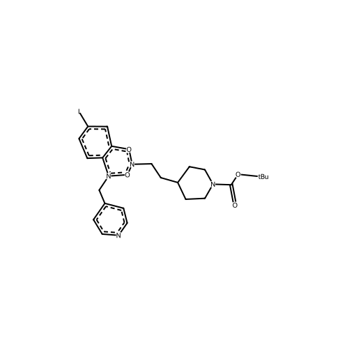 CC(C)(C)OC(=O)N1CCC(CCn2oc3cc(I)ccc3n(Cc3ccncc3)o2)CC1